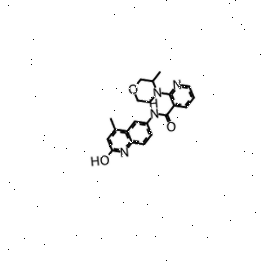 Cc1cc(O)nc2ccc(NC(=O)c3cccnc3N3CCOCC3C)cc12